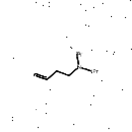 C=CCCN(C(C)C)C(C)C